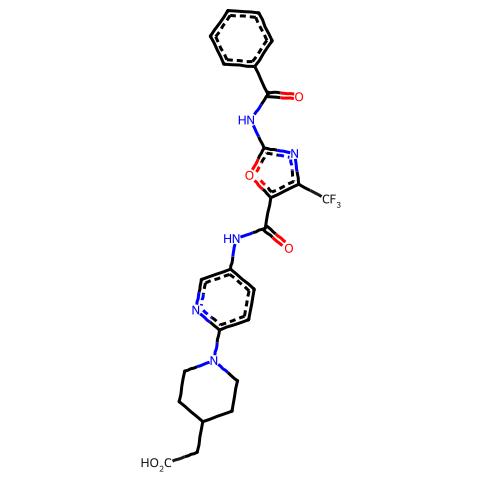 O=C(O)CC1CCN(c2ccc(NC(=O)c3oc(NC(=O)c4ccccc4)nc3C(F)(F)F)cn2)CC1